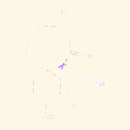 C=C1/C=C(Br)\C=C/CCC2(CCC(OC)CC2)C12N=C(N)N(C)C2=O